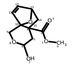 COC(=O)C12CC(O)OCC13C=CC(C2)O3